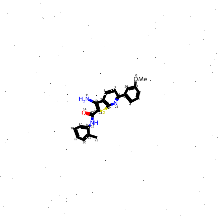 COc1cccc(-c2ccc3c(N)c(C(=O)Nc4ccccc4C)sc3n2)c1